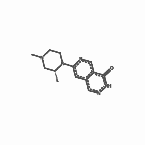 C[C@@H]1CN(C)CCN1c1cc2cn[nH]c(=O)c2cn1